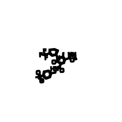 Cc1c(-c2nnco2)cc(C(=O)NCc2ccc(S(C)(=O)=O)cc2)c(=O)n1-c1cccc(C(F)(F)F)c1